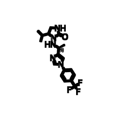 CC(C)C1CNC(=O)N1N[C@@H](C)c1cn(-c2ccc(C(F)(F)F)cc2)cn1